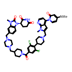 CNc1ccn(-c2ccnc3c2cc(CN2CCC(c4c(F)cc(C(=O)N5CCC(CN6CCN(Cc7ccc8c(c7)n(C)c(=O)n8[C@@H]7CCC(=O)NC7=O)CC6)CC5)cc4F)CC2)n3C)c(=O)c1